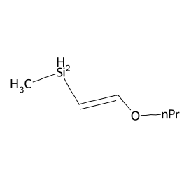 CCCOC=C[SiH2]C